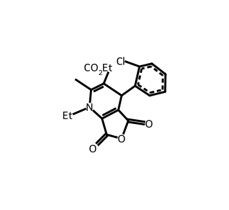 CCOC(=O)C1=C(C)N(CC)C2=C(C(=O)OC2=O)C1c1ccccc1Cl